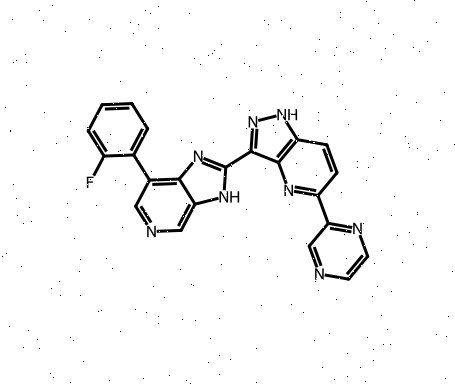 Fc1ccccc1-c1cncc2[nH]c(-c3n[nH]c4ccc(-c5cnccn5)nc34)nc12